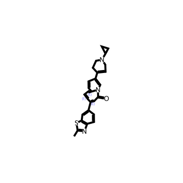 Cc1nc2ccc(C3=C\C(=O)N4C=C(C5=CCN(C6CC6)CC5)C=C\C4=C/C=C/3)cc2s1